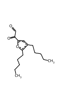 CCCCCc1cc(C(=O)C=O)oc1CCCCC